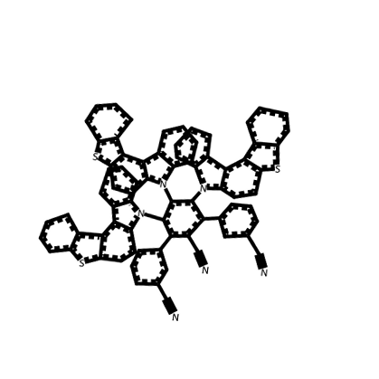 N#Cc1cccc(-c2c(C#N)c(-c3cccc(C#N)c3)c(-n3c4ccccc4c4c5c(ccc43)sc3ccccc35)c(-n3c4ccccc4c4c5c(ccc43)sc3ccccc35)c2-n2c3ccccc3c3c4c(ccc32)sc2ccccc24)c1